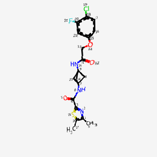 Cc1nc(C(=O)NC23CC(NC(=O)COc4ccc(Cl)c(F)c4)(C2)C3)sc1C